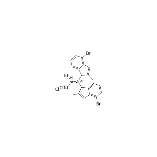 CC[SiH](CC)[Zr+2]([CH]1C(C)=Cc2c(Br)cccc21)[CH]1C(C)=Cc2c(Br)cccc21.[Cl-].[Cl-]